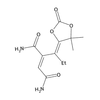 CCC(=C1OC(=O)OC1(C)C)/C(=C\C(N)=O)C(N)=O